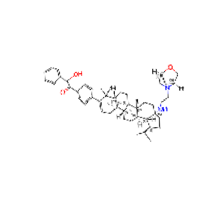 CC(C)[C@@H]1CC[C@]2(NCCN3C[C@@H]4C[C@H]3CO4)CC[C@]3(C)[C@H](CC[C@@H]4[C@@]5(C)CC=C(c6ccc(C(=O)C(O)c7ccccc7)cc6)C(C)(C)[C@@H]5CC[C@]43C)[C@@H]12